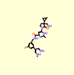 CN/C=C(\C=N)c1cc(F)cc(CNC(=O)C2=NC(C)NC(N3CCC(C=N)(C4CC4)C3=O)=C2)c1